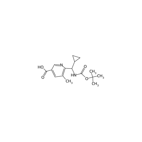 Cc1cc(C(=O)O)cnc1C(NC(=O)OC(C)(C)C)C1CC1